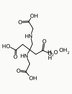 O.O.O=C(O)CNCC(CC(=O)O)(CC(=O)O)NCC(=O)O